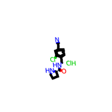 Cl.N#Cc1ccc(CNC(=O)[C@@H]2CCCN2)c(Cl)c1